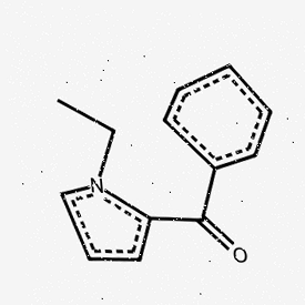 CCn1cccc1C(=O)c1ccccc1